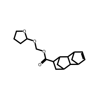 O=C(OCOC1CCCO1)C1CC2CC1C1C3C=CC(C3)C21